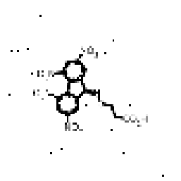 O=C(O)CCON=C1c2cc([N+](=O)[O-])cc([N+](=O)[O-])c2-c2c1cc([N+](=O)[O-])cc2[N+](=O)[O-]